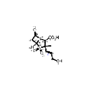 C[C@]1(/C=C/CO)[C@H](C(=O)O)N2C(=O)C[C@H]2S1(=O)=O